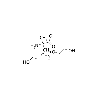 CC(C)(N)C(=O)O.OCCONOCCO